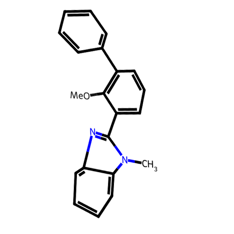 COc1c(-c2ccccc2)cccc1-c1nc2ccccc2n1C